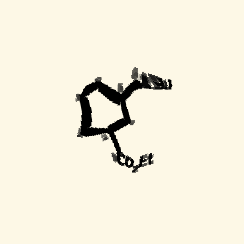 CCOC(=O)c1cccc(C(C)(C)C)c1